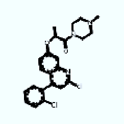 CC(Oc1ccc2c(-c3ccccc3Cl)cc(Cl)nc2c1)C(=O)N1CCN(C)CC1